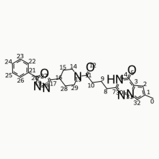 Cc1cc2c(=O)[nH]c(CCCC(=O)N3CCC(c4nnc(-c5ccccc5)o4)CC3)nn2c1